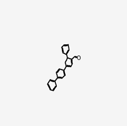 O=CC1=CC=C(c2ccc(-c3ccccc3)cc2)CC1c1ccccc1